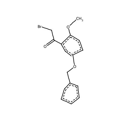 COc1ccc(OCc2ccccc2)cc1C(=O)CBr